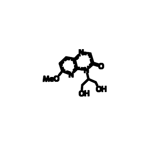 COc1ccc2ncc(=O)n(C(CO)CO)c2n1